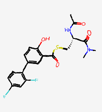 CC(=O)N[C@@H](CSC(=O)c1cc(-c2ccc(F)cc2F)ccc1O)C(=O)N(C)C